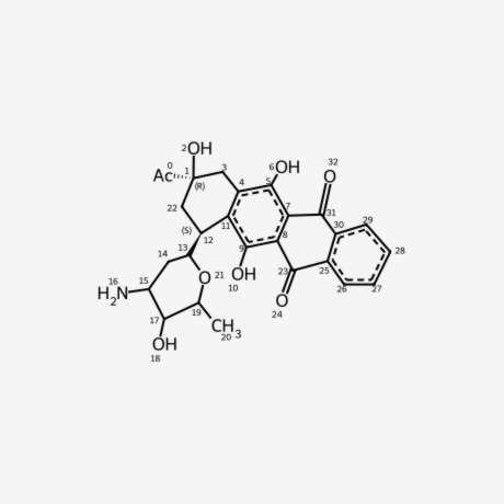 CC(=O)[C@]1(O)Cc2c(O)c3c(c(O)c2[C@@H](C2CC(N)C(O)C(C)O2)C1)C(=O)c1ccccc1C3=O